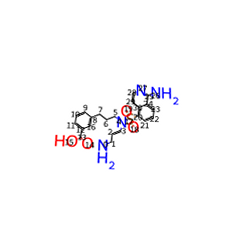 NCC=CN(CCCc1cccc(C(=O)O)c1)S(=O)(=O)c1cccc2c(N)nccc12